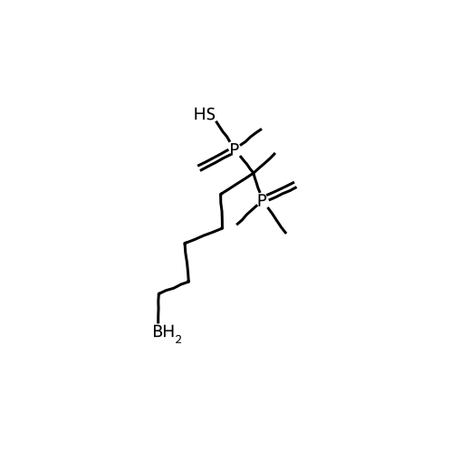 BCCCCCC(C)(P(=C)(C)C)P(=C)(C)S